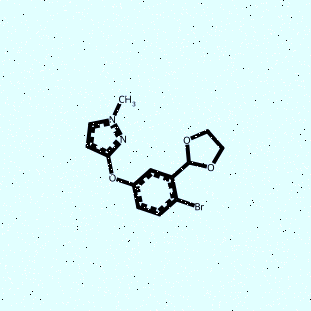 Cn1ccc(Oc2ccc(Br)c(C3OCCO3)c2)n1